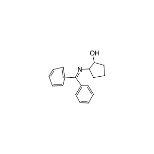 OC1CCCC1N=C(c1ccccc1)c1ccccc1